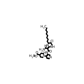 CCCCCCCCCC1C(Cl)CNc2c(C(=O)Nc3cnccc3N3CCC(C(=O)OC)CC3)c(N)nn21